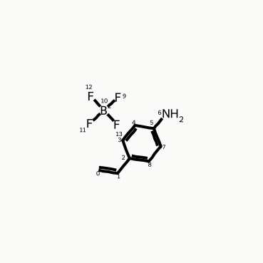 C=Cc1ccc(N)cc1.F[B-](F)(F)F